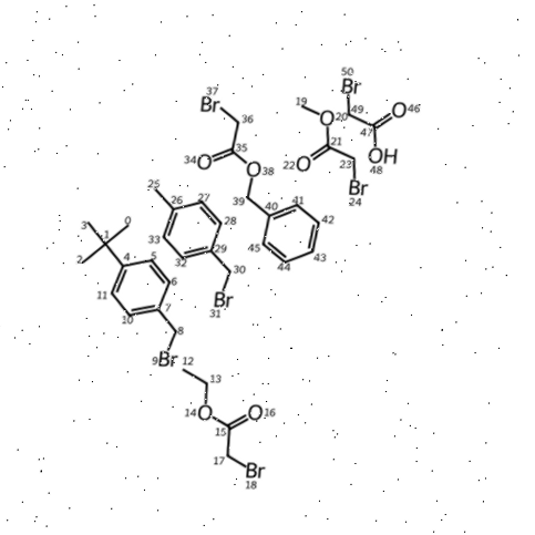 CC(C)(C)c1ccc(CBr)cc1.CCOC(=O)CBr.COC(=O)CBr.Cc1ccc(CBr)cc1.O=C(CBr)OCc1ccccc1.O=C(O)CBr